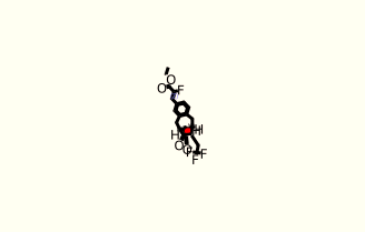 CCOC(=O)/C(F)=C/c1ccc2c(c1)C[C@H]1CC[C@@H](C2)[C@]12CN(CC(F)(F)F)S(=O)(=O)N2